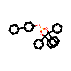 c1ccc(-c2ccc(OP3OC(c4ccccc4)(c4ccccc4)C(c4ccccc4)(c4ccccc4)O3)cc2)cc1